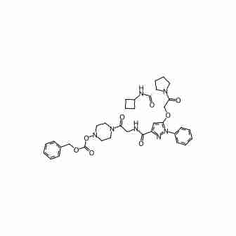 O=C(OCc1ccccc1)ON1CCN(C(=O)CNC(=O)c2cc(OCC(=O)N3CCC[C@H]3C(=O)NC3CCC3)n(-c3ccccc3)n2)CC1